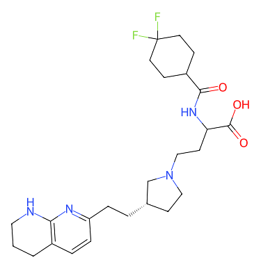 O=C(NC(CCN1CC[C@H](CCc2ccc3c(n2)NCCC3)C1)C(=O)O)C1CCC(F)(F)CC1